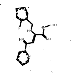 N=C(NC=O)/C(=C/C(=N)c1ccccn1)NCc1ccccc1F